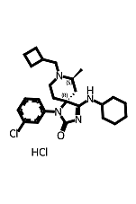 C[C@H]1C[C@]2(CCN1CC1CCC1)C(NC1CCCCC1)=NC(=O)N2c1cccc(Cl)c1.Cl